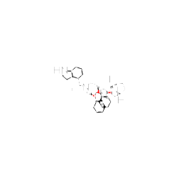 Cc1nc2ccccc2n1C1C[C@H]2CC[C@@H](C1)N2CCC1(c2ccccc2)CCN(C(=O)c2cccc3[nH]ccc23)CC1